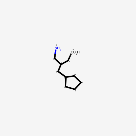 NCC(CC(=O)O)CC1CCCC1